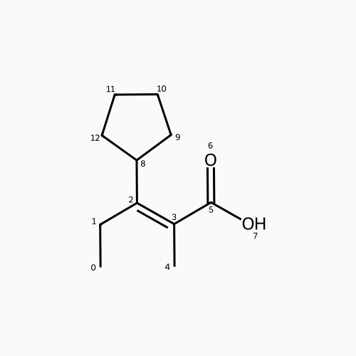 CCC(=C(C)C(=O)O)C1CCCC1